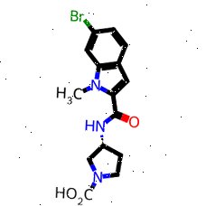 Cn1c(C(=O)N[C@@H]2CCN(C(=O)O)C2)cc2ccc(Br)cc21